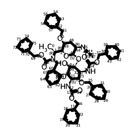 C[C@H]([C@H]1O[C@H](O[C@H]2[C@H](O)[C@@H](O)[C@H](NC(=O)OCc3ccccc3)[C@@H](OCc3ccccc3)[C@@H]2NC(=O)OCc2ccccc2)[C@H](N=[N+]=[N-])C[C@@H]1OCc1ccccc1)N(Cc1ccccc1)C(=O)OCc1ccccc1